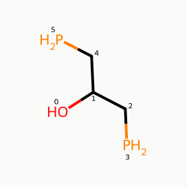 OC(CP)CP